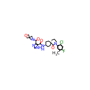 Cc1cc(N2CCC[C@]3(CC[C@H](NC(=O)c4[nH]cnc4C(=O)N4CC5(COC5)C4)CC3)C2=O)c(Cl)cc1F